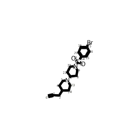 C#CCC1CCN(C2CCN(S(=O)(=O)c3ccc(Br)cc3)CC2)CC1